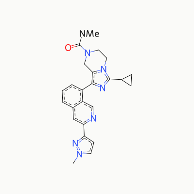 CNC(=O)N1CCn2c(C3CC3)nc(-c3cccc4cc(-c5ccn(C)n5)ncc34)c2C1